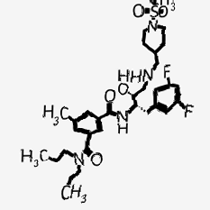 CCCN(CCC)C(=O)c1cc(C)cc(C(=O)N[C@@H](Cc2cc(F)cc(F)c2)[C@H](O)CNCC2CCN(S(C)(=O)=O)CC2)c1